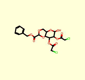 O=C(CCl)OC1C(O)OC2COC(C(=O)OCc3ccccc3)OC2C1OC(=O)CCl